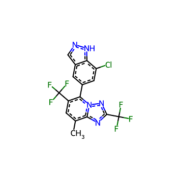 Cc1cc(C(F)(F)F)c(-c2cc(Cl)c3[nH]ncc3c2)n2nc(C(F)(F)F)nc12